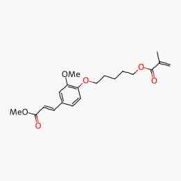 C=C(C)C(=O)OCCCCCOc1ccc(C=CC(=O)OC)cc1OC